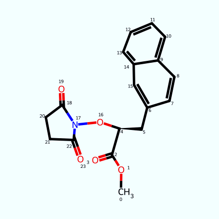 COC(=O)[C@H](Cc1ccc2ccccc2c1)ON1C(=O)CCC1=O